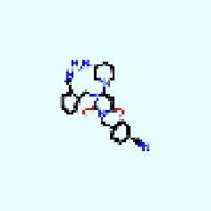 N#Cc1ccc(Cn2c(=O)cc(N3CCC[C@@H](N)C3)n(Cc3ccccc3C#N)c2=O)cc1